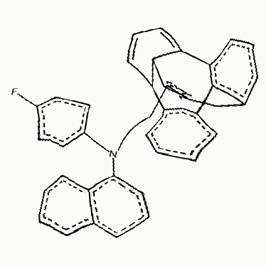 Fc1ccc(N(c2ccc3c(c2)C2C4=CC=CC2c2ccccc2-c2c4cccc2-3)c2cccc3ccccc23)cc1